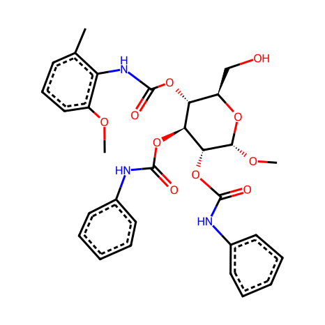 COc1cccc(C)c1NC(=O)O[C@H]1[C@H](OC(=O)Nc2ccccc2)[C@@H](OC(=O)Nc2ccccc2)[C@@H](OC)O[C@@H]1CO